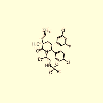 C=CC[C@@]1(C)C[C@H](c2cc(F)cc(Cl)c2)[C@@H](c2ccc(Cl)cc2)N(C(CC)CNS(=O)(=O)CC)C1=O